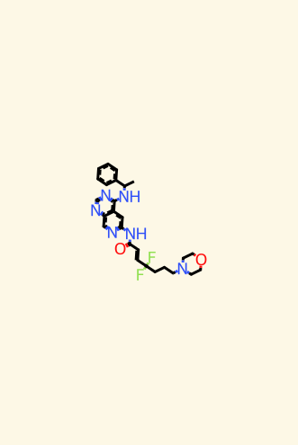 CC(Nc1ncnc2cnc(NC(=O)C=CC(F)(F)CCCN3CCOCC3)cc12)c1ccccc1